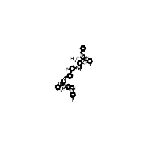 Cc1cc2c(cnn2-c2ccc(F)cc2)cc1[C@@]12CN(Cc3cccc(-c4cc(-n5ncc6cc([C@]78CN(Cc9ccccc9)C[C@H]7[C@@]8(C)c7ccccc7)c(C)cc65)ccc4F)c3)C[C@@H]1[C@]2(C)c1ccccc1